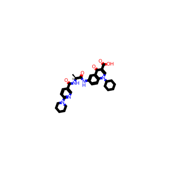 C[C@H](NC(=O)c1ccc(N2CCCCC2)nc1)C(=O)Nc1ccc2c(c1)c(=O)c(C(=O)O)cn2C1CCCCC1